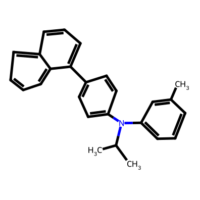 Cc1cccc(N(c2ccc(-c3cccc4ccccc34)cc2)C(C)C)c1